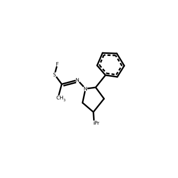 C/C(=N\N1CC(C(C)C)CC1c1ccccc1)SF